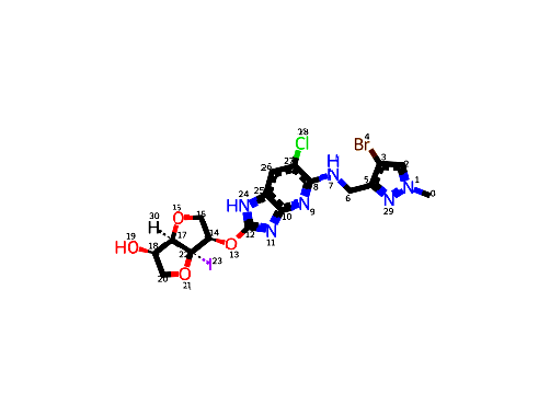 Cn1cc(Br)c(CNc2nc3nc(O[C@@H]4CO[C@@H]5[C@H](O)CO[C@@]54I)[nH]c3cc2Cl)n1